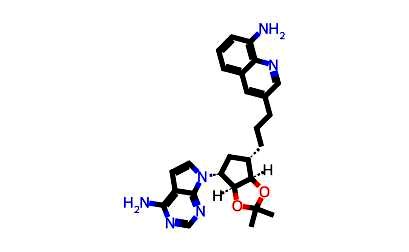 CC1(C)O[C@@H]2[C@@H](CCCc3cnc4c(N)cccc4c3)C[C@@H](n3ccc4c(N)ncnc43)[C@@H]2O1